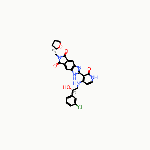 O=C1c2cc3nc(-c4c(NC[C@@H](O)c5cccc(Cl)c5)cc[nH]c4=O)[nH]c3cc2C(=O)N1C[C@@H]1CCCO1